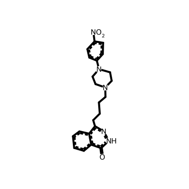 O=c1[nH]nc(CCCCN2CCN(c3ccc([N+](=O)[O-])cc3)CC2)c2ccccc12